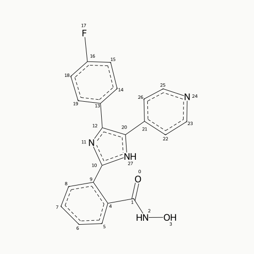 O=C(NO)c1ccccc1-c1nc(-c2ccc(F)cc2)c(-c2ccncc2)[nH]1